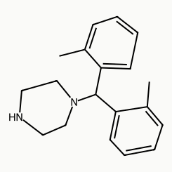 Cc1ccccc1C(c1ccccc1C)N1CCNCC1